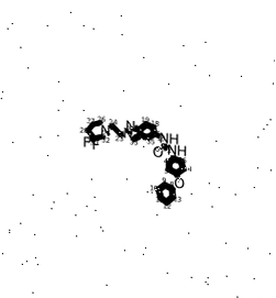 O=C(Nc1ccc(Oc2ccccc2)cc1)Nc1ccc2nn(CCN3CCCC(F)(F)C3)cc2c1